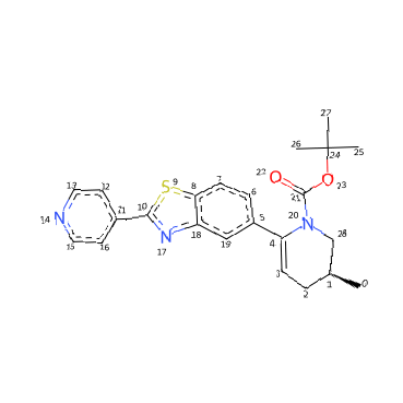 C[C@H]1CC=C(c2ccc3sc(-c4ccncc4)nc3c2)N(C(=O)OC(C)(C)C)C1